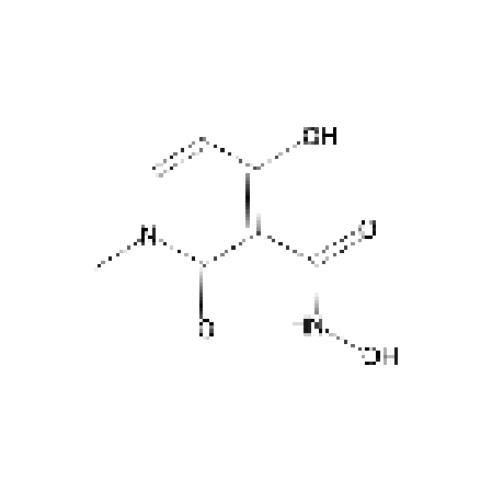 Cn1ccc(O)c(C(=O)NO)c1=O